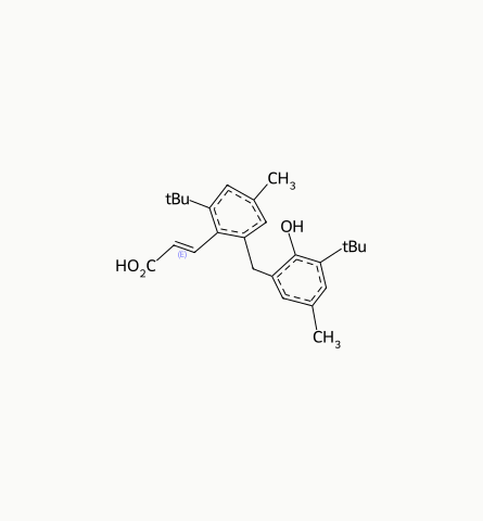 Cc1cc(Cc2cc(C)cc(C(C)(C)C)c2/C=C/C(=O)O)c(O)c(C(C)(C)C)c1